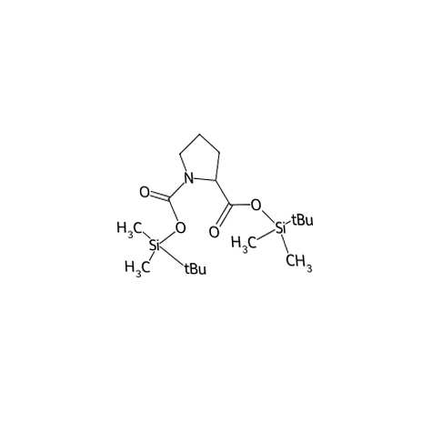 CC(C)(C)[Si](C)(C)OC(=O)C1CCCN1C(=O)O[Si](C)(C)C(C)(C)C